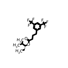 CC[C@@H](OC(=O)CCCc1cc(C(F)(F)F)cc(C(F)(F)F)c1)C(C)C